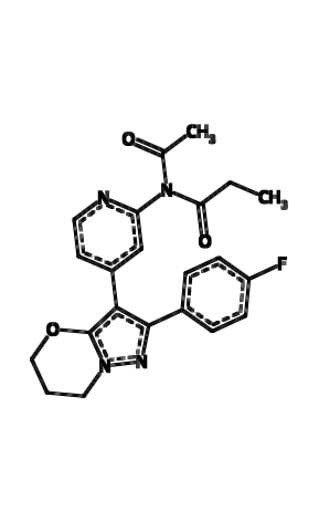 CCC(=O)N(C(C)=O)c1cc(-c2c(-c3ccc(F)cc3)nn3c2OCCC3)ccn1